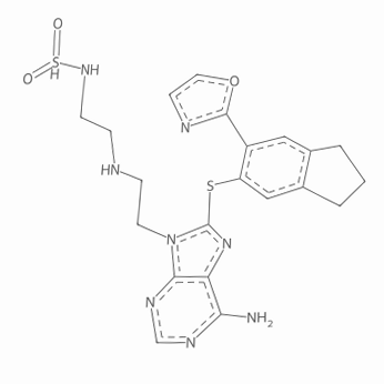 Nc1ncnc2c1nc(Sc1cc3c(cc1-c1ncco1)CCC3)n2CCNCCN[SH](=O)=O